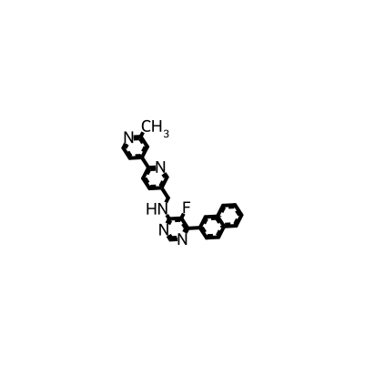 Cc1cc(-c2ccc(CNc3ncnc(-c4ccc5ccccc5c4)c3F)cn2)ccn1